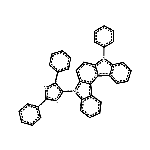 c1ccc(-c2nc(-c3ccccc3)c(-n3c4ccccc4c4c5c6ccccc6n(-c6ccccc6)c5ccc43)s2)cc1